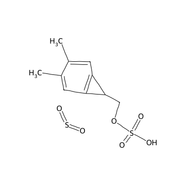 Cc1cc2c(cc1C)C2COS(=O)(=O)O.O=S=O